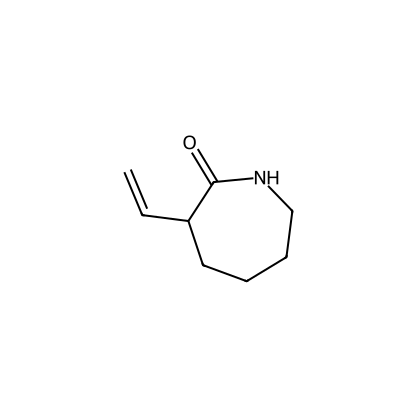 C=CC1CCCCNC1=O